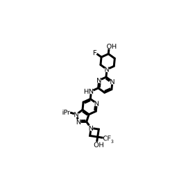 CC(C)n1nc(N2CC(O)(C(F)(F)F)C2)c2cnc(Nc3ccnc(N4CCC(O)C(F)C4)n3)cc21